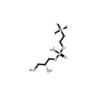 CC(=O)OC[C@@H](O)COP(=O)(O)OCC[N+](C)(C)C